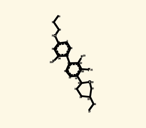 CCCOc1ccc(-c2ccc(C3CCC(CC)CO3)c(F)c2F)c(F)c1